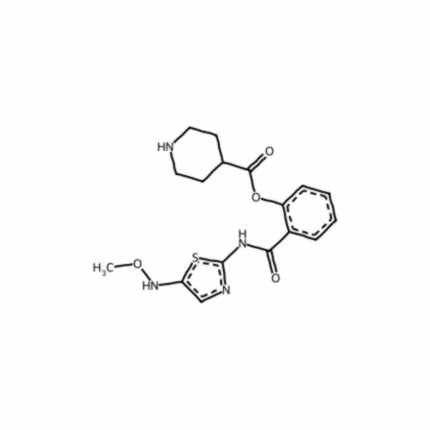 CONc1cnc(NC(=O)c2ccccc2OC(=O)C2CCNCC2)s1